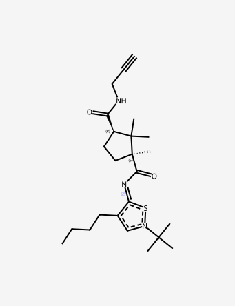 C#CCNC(=O)[C@@H]1CC[C@](C)(C(=O)/N=c2\sn(C(C)(C)C)cc2CCCC)C1(C)C